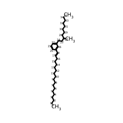 CCCCCCCCCCCCCCCCCC=Cc1cccc(C[CH]C(C)CCCCCCCC)c1